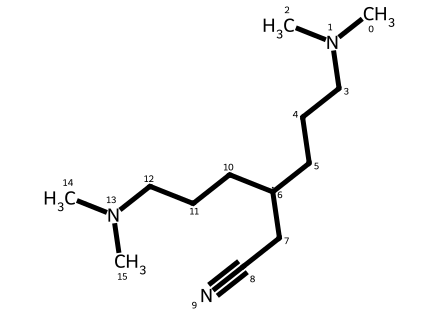 CN(C)CCC[C](CC#N)CCCN(C)C